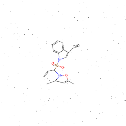 C=CC(N1OC(C)=CC1C)S(=O)(=O)n1cc(C=O)c2ccccc21